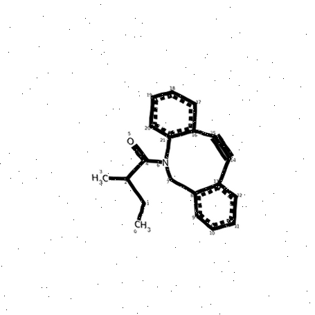 CCC(C)C(=O)N1Cc2ccccc2C#Cc2ccccc21